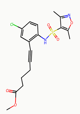 COC(=O)CCCC#Cc1cc(Cl)ccc1NS(=O)(=O)c1c(C)noc1C